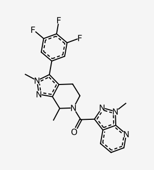 CC1c2nn(C)c(-c3cc(F)c(F)c(F)c3)c2CCN1C(=O)c1nn(C)c2ncccc12